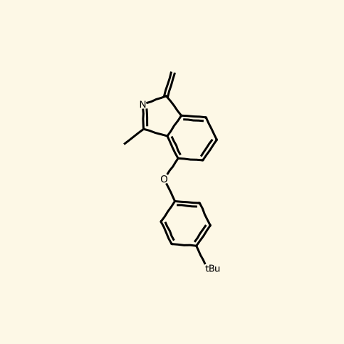 C=C1N=C(C)c2c(Oc3ccc(C(C)(C)C)cc3)cccc21